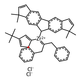 CC(C)(C)C1=CC[C]([Zr+2](=[C](Cc2ccccc2)Cc2ccccc2)[CH]2c3cc4c(cc3-c3cc5c(cc32)C(C)(C)C=C5)C=CC4(C)C)=C1.[Cl-].[Cl-]